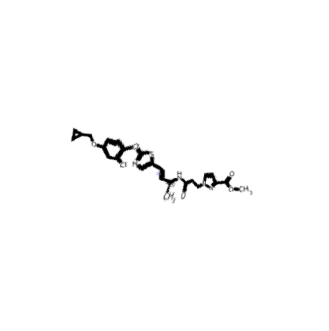 COC(=O)c1ccn(CCC(=O)N[C@@H](C)/C=C/c2cnc(Oc3ccc(OCC4CC4)cc3Cl)s2)n1